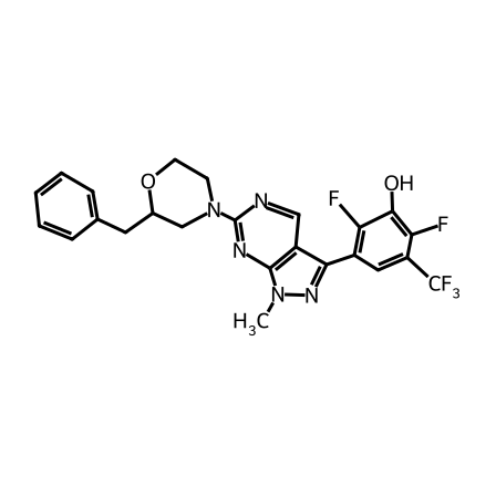 Cn1nc(-c2cc(C(F)(F)F)c(F)c(O)c2F)c2cnc(N3CCOC(Cc4ccccc4)C3)nc21